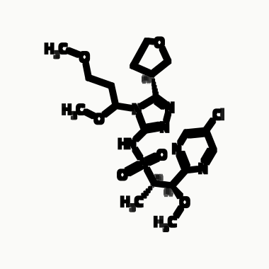 COCCC(OC)n1c(NS(=O)(=O)[C@@H](C)[C@H](OC)c2ncc(Cl)cn2)nnc1[C@@H]1CCOC1